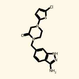 Nc1n[nH]c2cc(CN3CCN(c4ccc(Cl)s4)CC3=O)ccc12